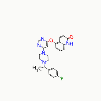 CC(c1ccc(F)cc1)N1CCN(c2cc(Oc3cccc4[nH]c(=O)ccc34)ncn2)CC1